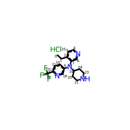 CCc1ccncc1N(c1ccc(C(F)(F)F)nc1)C1CCNCC1.Cl